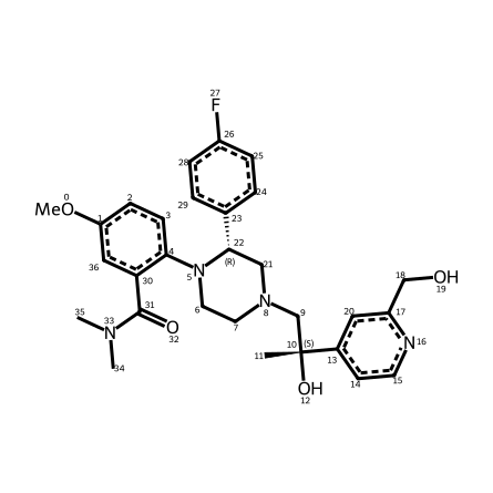 COc1ccc(N2CCN(C[C@@](C)(O)c3ccnc(CO)c3)C[C@H]2c2ccc(F)cc2)c(C(=O)N(C)C)c1